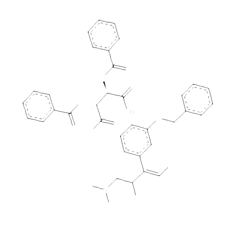 C/C=C(\c1cccc(OCc2ccccc2)c1)C(C)CN(C)C.O=C(O[C@@H](C(=O)O)[C@@H](OC(=O)c1ccccc1)C(=O)O)c1ccccc1